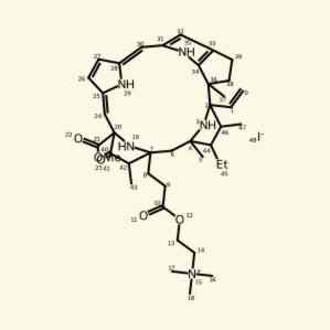 C=CC12NC(C)(CC3(CCC(=O)OCC[N+](C)(C)C)NC(C(=O)OC)(/C=c4/cc/c([nH]4)=C/c4cc5c([nH]4)C1(C)CC5)C(=O)C3C)C(CC)C2C.[I-]